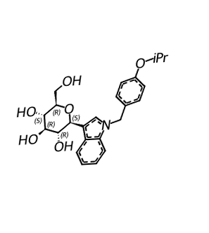 CC(C)Oc1ccc(Cn2cc([C@@H]3O[C@H](CO)[C@@H](O)[C@H](O)[C@H]3O)c3ccccc32)cc1